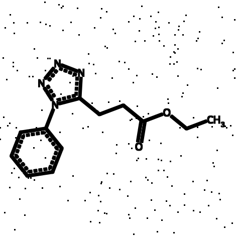 CCOC(=O)CCc1nnnn1-c1ccccc1